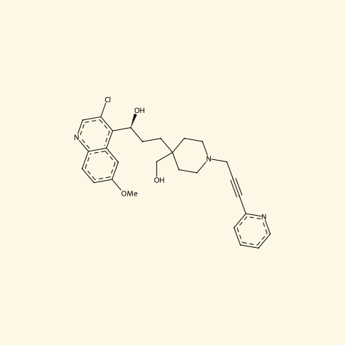 COc1ccc2ncc(Cl)c([C@@H](O)CCC3(CO)CCN(CC#Cc4ccccn4)CC3)c2c1